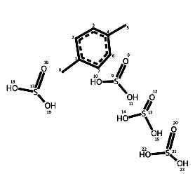 Cc1ccc(C)cc1.O=S(O)O.O=S(O)O.O=S(O)O.O=S(O)O